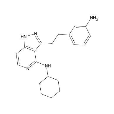 Nc1cccc(CCc2n[nH]c3ccnc(NC4CCCCC4)c23)c1